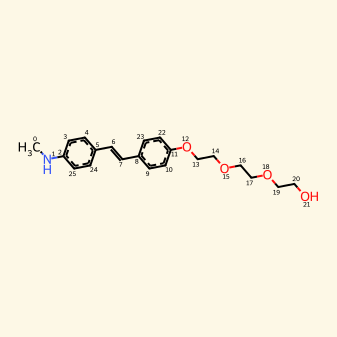 CNc1ccc(C=Cc2ccc(OCCOCCOCCO)cc2)cc1